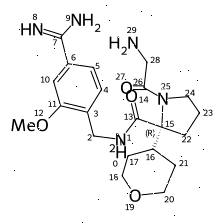 [2H]N(Cc1ccc(C(=N)N)cc1OC)C(=O)[C@]1(C2CCOCC2)CCCN1C(=O)CN